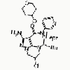 CCCCCCCC(CCCC)N1CC(Cl)Cn2nc(N)c(C(=O)Nc3cnccc3OC3CCOCC3)c21